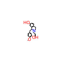 C=CCN1CCc2ccc(O)cc2C1Cc1ccc(OC)c(O)c1